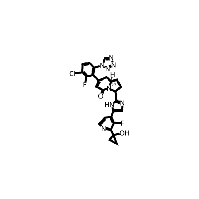 O=C1C=C(c2c(-n3cnnn3)ccc(Cl)c2F)C[C@H]2CCC(c3ncc(-c4ccnc(C5(O)CC5)c4F)[nH]3)N12